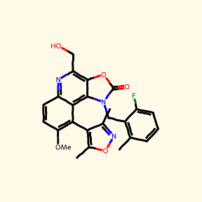 COc1ccc2nc(CO)c3oc(=O)n(Cc4c(C)cccc4F)c3c2c1-c1c(C)noc1C